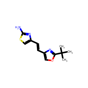 CC(C)(C)c1nc(/C=C/c2csc(N)n2)co1